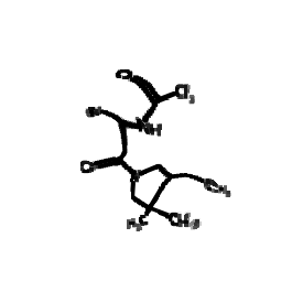 CC1CN(C(=O)C(NC(=O)C(F)(F)F)C(C)(C)C)CC1(C)C